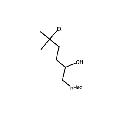 CCCCCCCC(O)CCC(C)(C)CC